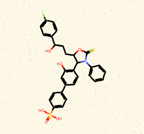 O=P(O)(O)c1ccc(-c2ccc(C3C(CCC(O)c4ccc(F)cc4)OC(=S)N3c3ccccc3)c(O)c2)cc1